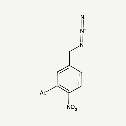 CC(=O)c1cc(CN=[N+]=[N-])ccc1[N+](=O)[O-]